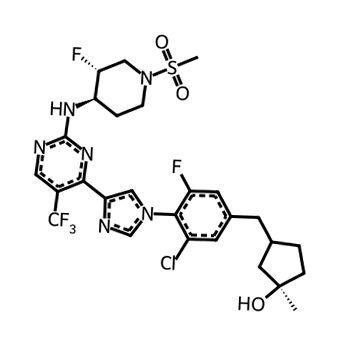 C[C@@]1(O)CCC(Cc2cc(F)c(-n3cnc(-c4nc(N[C@@H]5CCN(S(C)(=O)=O)C[C@H]5F)ncc4C(F)(F)F)c3)c(Cl)c2)C1